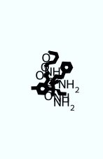 CCC[C@](C(=O)NN)(C(=O)[C@H](C)N)c1ccc(C)cc1[C@H](C/C=C/c1ccccc1)C(=O)NOC1CCCCO1